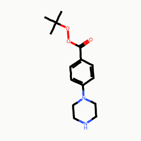 CC(C)(C)OOC(=O)c1ccc(N2CCNCC2)cc1